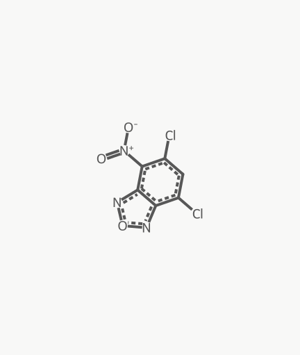 O=[N+]([O-])c1c(Cl)cc(Cl)c2nonc12